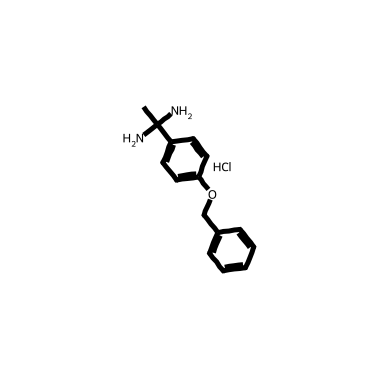 CC(N)(N)c1ccc(OCc2ccccc2)cc1.Cl